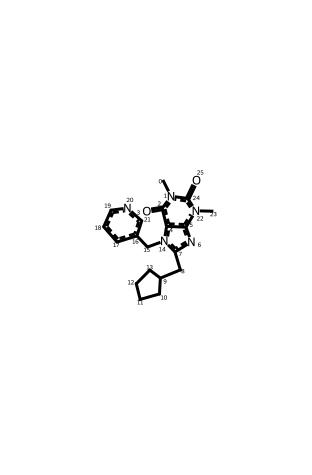 Cn1c(=O)c2c(nc(CC3CCCC3)n2Cc2cccnc2)n(C)c1=O